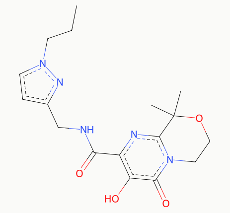 CCCn1ccc(CNC(=O)c2nc3n(c(=O)c2O)CCOC3(C)C)n1